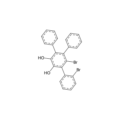 Oc1c(O)c(-c2ccccc2)c(-c2ccccc2)c(Br)c1-c1ccccc1Br